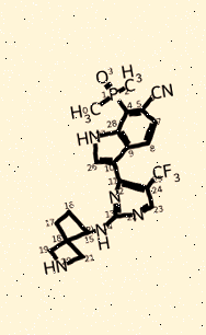 CP(C)(=O)c1c(C#N)ccc2c(-c3nc(N[C@@H]4CCC45CNC5)ncc3C(F)(F)F)c[nH]c12